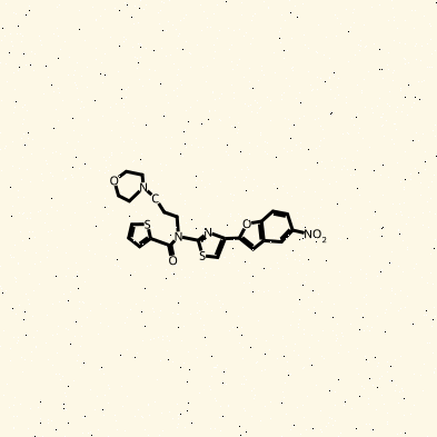 O=C(c1cccs1)N(CCCN1CCOCC1)c1nc(-c2cc3cc([N+](=O)[O-])ccc3o2)cs1